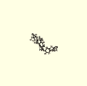 CS(=O)(=O)N1CCCC1CNc1nc(Nc2ccc3c(c2)CC(=O)N3)ncc1C(F)(F)F